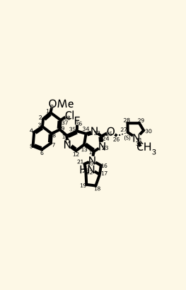 COc1cc2ccccc2c(-c2ncc3c(N4CC5CCC(C4)N5)nc(OC[C@@H]4CCCN4C)nc3c2F)c1Cl